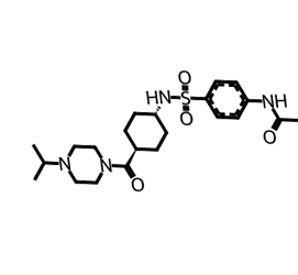 CC(=O)Nc1ccc(S(=O)(=O)N[C@H]2CC[C@H](C(=O)N3CCN(C(C)C)CC3)CC2)cc1